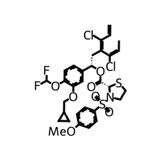 C=C/C(Cl)=C(C[C@H](OC(=O)[C@@H]1SCCN1S(=O)(=O)c1ccc(OC)cc1)c1ccc(OC(F)F)c(OCC2CC2)c1)\C(Cl)=C/C